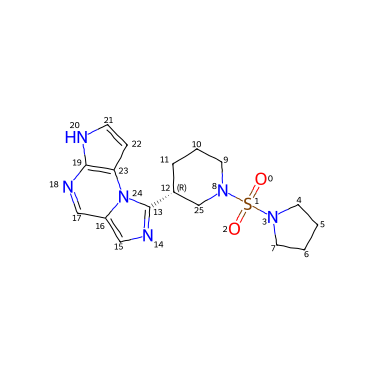 O=S(=O)(N1CCCC1)N1CCC[C@@H](c2ncc3cnc4[nH]ccc4n23)C1